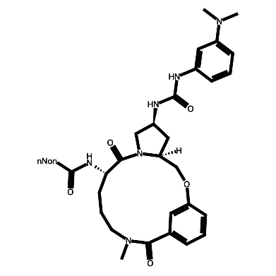 CCCCCCCCCC(=O)N[C@H]1CCCN(C)C(=O)c2cccc(c2)OC[C@@H]2C[C@H](NC(=O)Nc3cccc(N(C)C)c3)CN2C1=O